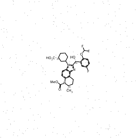 COC(=O)N1c2ccc3c(nc([C@H](O)c4cc(F)ccc4OC(F)F)n3C3CCC[C@@H](C(=O)O)C3)c2CC[C@@H]1C